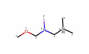 COCN(I)C[SiH](C)C